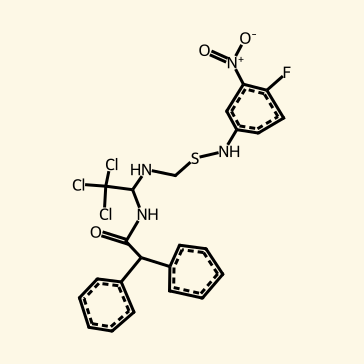 O=C(NC(NCSNc1ccc(F)c([N+](=O)[O-])c1)C(Cl)(Cl)Cl)C(c1ccccc1)c1ccccc1